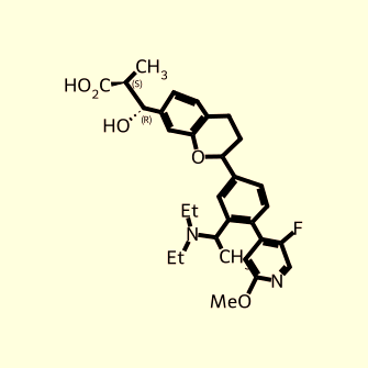 CCN(CC)C(C)c1cc(C2CCc3ccc([C@H](O)[C@H](C)C(=O)O)cc3O2)ccc1-c1cc(OC)ncc1F